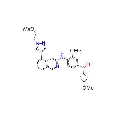 COCCn1cc(-c2cccc3cnc(Nc4ccc(C(=O)C5CC(OC)C5)cc4OC)cc23)cn1